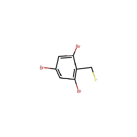 [S]Cc1c(Br)cc(Br)cc1Br